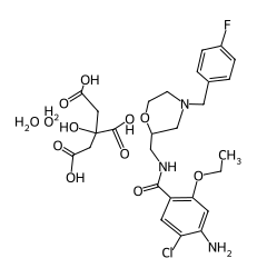 CCOc1cc(N)c(Cl)cc1C(=O)NCC1CN(Cc2ccc(F)cc2)CCO1.O.O.O=C(O)CC(O)(CC(=O)O)C(=O)O